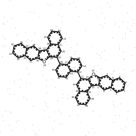 c1ccc2cc3c(cc2c1)oc1c(-c2cccc4c(-c5cc6ccccc6c6c5oc5cc7ccccc7cc56)cccc24)cc2ccccc2c13